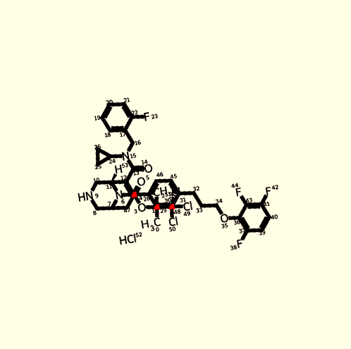 CC(C)(OC(=O)N1C2CNC[C@@H]1C(C(=O)N(Cc1ccccc1F)C1CC1)=C(c1ccc(CCCOc3c(F)ccc(F)c3F)cc1)C2)C(Cl)(Cl)Cl.Cl